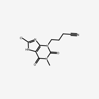 Cn1c(=O)c2[nH]c(Cl)nc2n(CCCC#N)c1=O